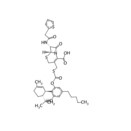 C=C(C)[C@@H]1CCC(C)=C[C@H]1c1c(O)cc(CCCCC)cc1OC(=O)SCC1=C(C(=O)O)N2C(=O)[C@@H](NC(=O)Cc3cccs3)[C@H]2SC1